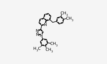 Cc1ccc(Cc2cccc3ccc(-c4cn(-c5cc(C)c(C)c(C)c5)nn4)nc23)cc1C